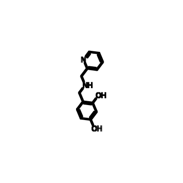 Oc1ccc(CNCc2ccccn2)c(O)c1